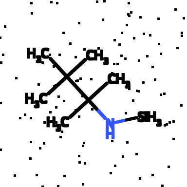 CC(C)(C)C(C)(C)N[SiH3]